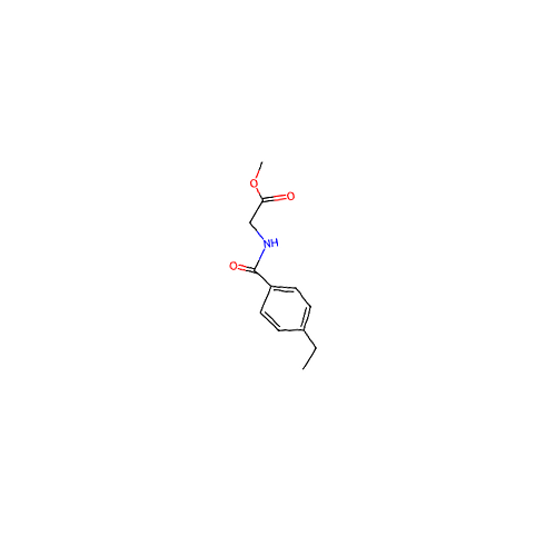 CCc1ccc(C(=O)NCC(=O)OC)cc1